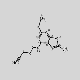 C#CCCCNc1nc(CC)nc2sc(C)cc12